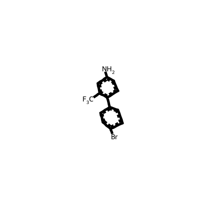 Nc1ccc(-c2ccc(Br)cc2)c(C(F)(F)F)c1